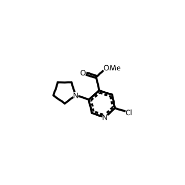 COC(=O)c1cc(Cl)ncc1N1CCCC1